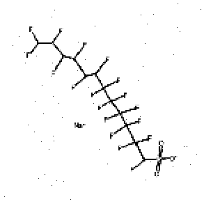 O=S(=O)([O-])C(F)C(F)(F)C(F)(F)C(F)(F)C(F)(F)C(F)(F)C(F)C(F)C(F)C(F)C(F)C(F)F.[Na+]